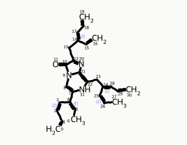 C=C/C=C\C(=C/C)c1cn2c(=O)c(C/C(C=C)=C/C=C)nc-2c(CC(/C=C\C)=C/C=C)[nH]1